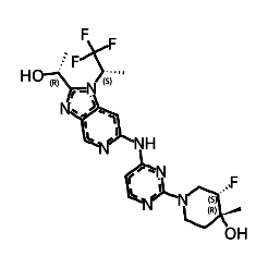 C[C@H](n1c([C@@H](C)O)nc2cnc(Nc3ccnc(N4CC[C@@](C)(O)[C@@H](F)C4)n3)cc21)C(F)(F)F